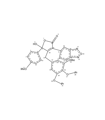 COc1ccc(C2(O)OC(=O)C(c3ccc4nonc4c3)=C2Cc2cc(OC)c(OC(C)C)c(OC(C)C)c2)cc1